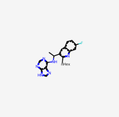 CCCCCCc1nc2cc(F)ccc2cc1C(C)Nc1ncnc2[nH]cnc12